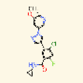 COc1cncc(-n2cc(-c3cc(C(=O)NC4CC4)c(F)cc3Cl)cn2)c1